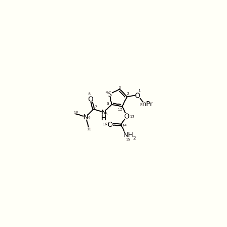 CCCOc1csc(NC(=O)N(C)C)c1OC(N)=O